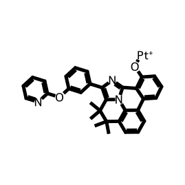 CC1(C)c2cccc3c4cccc([O][Pt+])c4c4nc(-c5cccc(Oc6ccccn6)c5)c(n4c23)C1(C)C